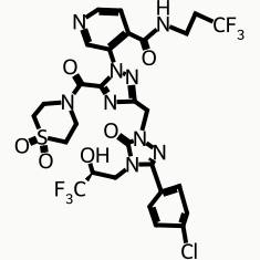 O=C(NCCC(F)(F)F)c1ccncc1-n1nc(Cn2nc(-c3ccc(Cl)cc3)n(C[C@H](O)C(F)(F)F)c2=O)nc1C(=O)N1CCS(=O)(=O)CC1